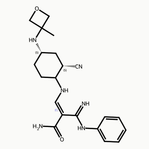 CC1(N[C@H]2CCC(N/C=C(\C(=N)Nc3ccccc3)C(N)=O)[C@@H](C#N)C2)COC1